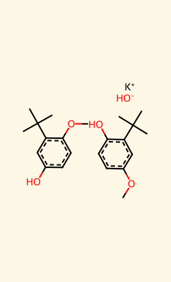 COc1ccc(O)c(C(C)(C)C)c1.COc1ccc(O)cc1C(C)(C)C.[K+].[OH-]